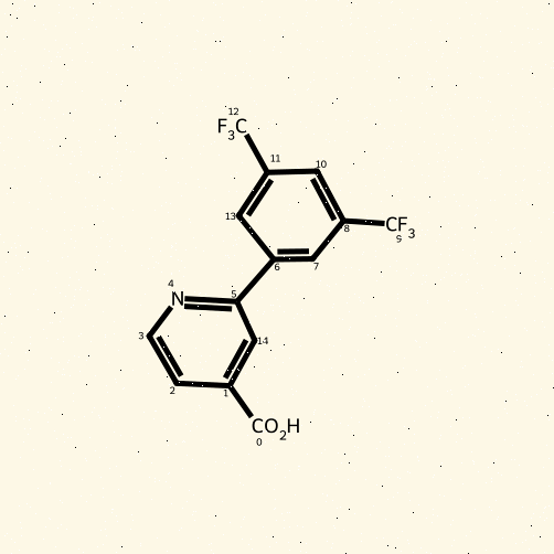 O=C(O)c1ccnc(-c2cc(C(F)(F)F)cc(C(F)(F)F)c2)c1